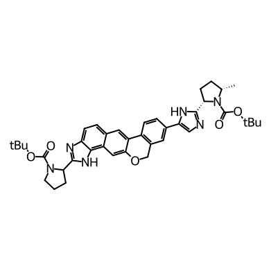 C[C@H]1CC[C@@H](c2ncc(-c3ccc4c(c3)COc3cc5c(ccc6nc(C7CCCN7C(=O)OC(C)(C)C)[nH]c65)cc3-4)[nH]2)N1C(=O)OC(C)(C)C